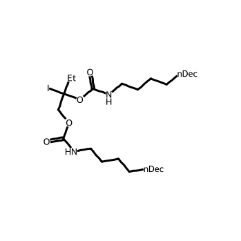 CCCCCCCCCCCCCCNC(=O)OCC(I)(CC)OC(=O)NCCCCCCCCCCCCCC